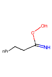 CCCCCC(=N)OO